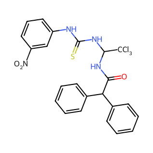 O=C(NC(NC(=S)Nc1cccc([N+](=O)[O-])c1)C(Cl)(Cl)Cl)C(c1ccccc1)c1ccccc1